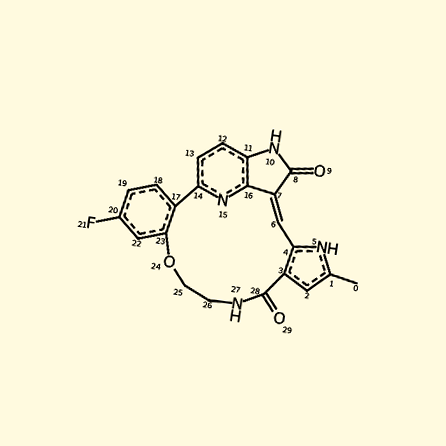 Cc1cc2c([nH]1)/C=C1\C(=O)Nc3ccc(nc31)-c1ccc(F)cc1OCCNC2=O